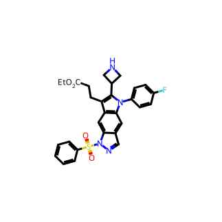 CCOC(=O)CCc1c(C2CNC2)n(-c2ccc(F)cc2)c2cc3cnn(S(=O)(=O)c4ccccc4)c3cc12